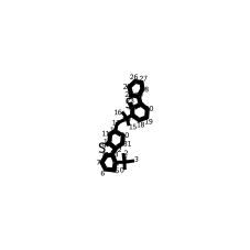 CC(C)(C)c1cccc2sc3cc(CC(C)(C)c4cccc5c4sc4ccccc45)ccc3c12